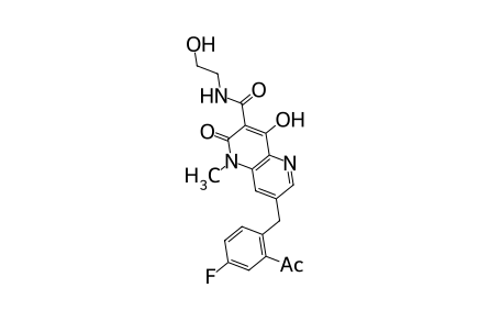 CC(=O)c1cc(F)ccc1Cc1cnc2c(O)c(C(=O)NCCO)c(=O)n(C)c2c1